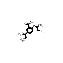 CCC(C)Oc1ccc(C(C)CC)cc1C(=O)O